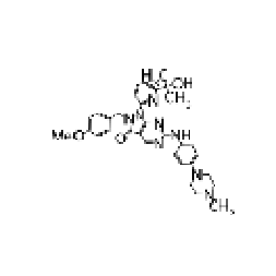 COc1ccc(Cn2c(=O)c3cnc(Nc4ccc(N5CCN(C)CC5)cc4)nc3n2-c2cccc(C(C)(C)O)n2)cc1